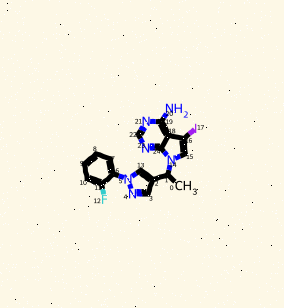 CC(c1cnn(-c2ccccc2F)c1)n1cc(I)c2c(N)ncnc21